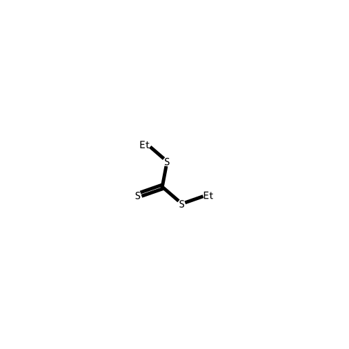 CCSC(=S)SCC